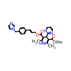 COC(=O)C1=C(C)NC(C)=C(C(=O)OCC=Cc2ccc(Cn3ccnc3)cc2)C1c1ncccn1